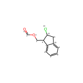 O=COCC1c2ccccc2CC1Cl